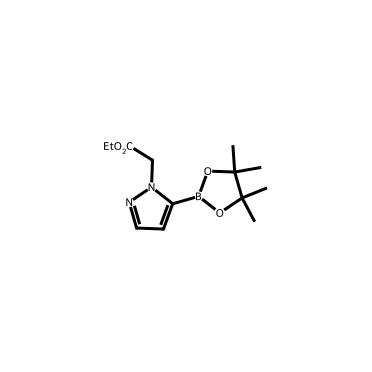 CCOC(=O)Cn1nccc1B1OC(C)(C)C(C)(C)O1